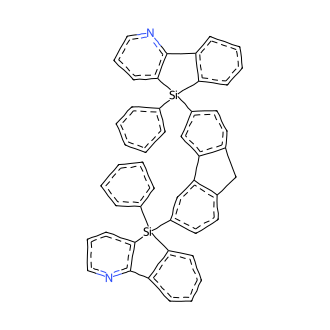 c1ccc([Si]2(c3ccc4c(c3)-c3cc([Si]5(c6ccccc6)c6ccccc6-c6ncccc65)ccc3C4)c3ccccc3-c3ncccc32)cc1